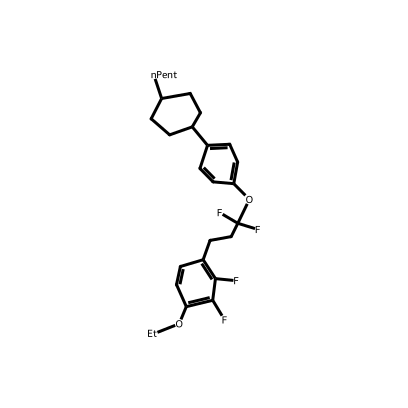 CCCCCC1CCC(c2ccc(OC(F)(F)CCc3ccc(OCC)c(F)c3F)cc2)CC1